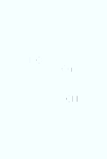 C#CO.[Cu]